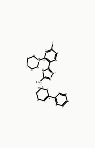 Fc1ccc(-c2nnc(N[C@H]3CCC=C(c4ccccc4)C3)o2)c(N2CCOCC2)n1